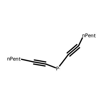 CCCCCC#C[P]C#CCCCCC